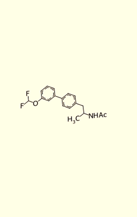 CC(=O)NC(C)Cc1ccc(-c2cccc(OC(F)F)c2)cc1